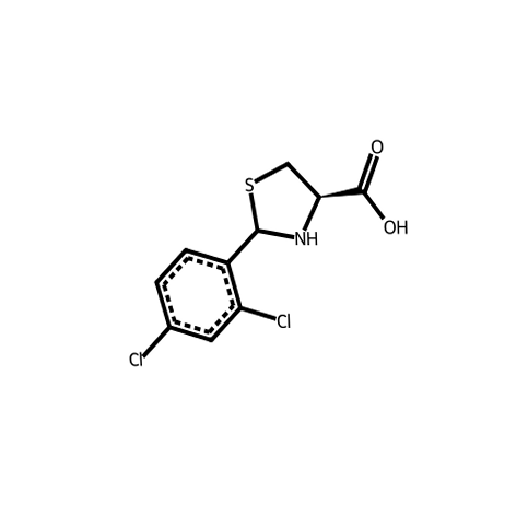 O=C(O)[C@@H]1CSC(c2ccc(Cl)cc2Cl)N1